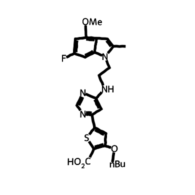 CCCCOc1cc(-c2cc(NCCn3c(C)cc4c(OC)cc(F)cc43)ncn2)sc1C(=O)O